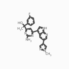 Cn1cc(-c2cnc3[nH]cc(-c4cc(C(C)(O)c5cccc(F)c5)nc(N)n4)c3c2)cn1